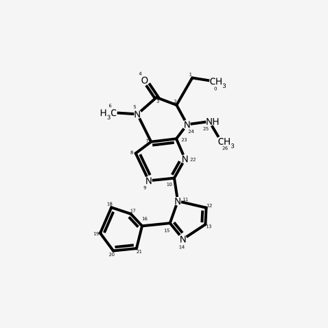 CCC1C(=O)N(C)c2cnc(-n3ccnc3-c3ccccc3)nc2N1NC